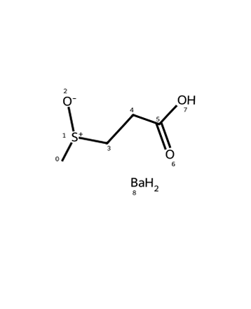 C[S+]([O-])CCC(=O)O.[BaH2]